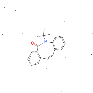 CC(C)(I)N1C(=O)c2ccccc2/C=C\c2ccccc21